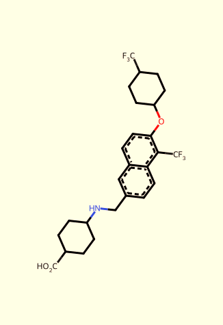 O=C(O)C1CCC(NCc2ccc3c(C(F)(F)F)c(OC4CCC(C(F)(F)F)CC4)ccc3c2)CC1